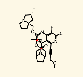 COCC#Cc1nc(Cl)c(F)c2nc(OC[C@@]34CCCN3C[C@H](F)C4)nc(N3CC4CCC(C3)N4C(=O)OC(C)(C)C)c12